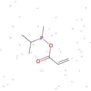 C=CC(=O)OP(C)C(C)C